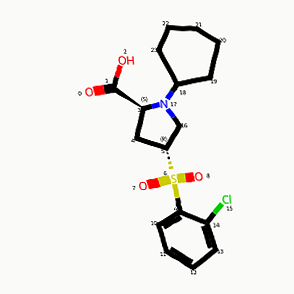 O=C(O)[C@@H]1C[C@@H](S(=O)(=O)c2ccccc2Cl)CN1C1CCCCC1